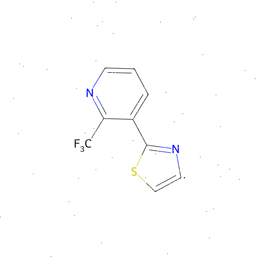 FC(F)(F)c1ncccc1-c1n[c]cs1